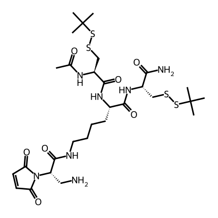 CC(=O)N[C@@H](CSSC(C)(C)C)C(=O)N[C@@H](CCCCNC(=O)[C@H](CN)N1C(=O)C=CC1=O)C(=O)N[C@@H](CSSC(C)(C)C)C(N)=O